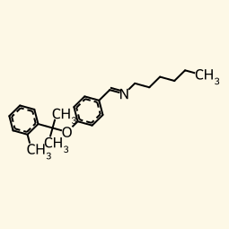 CCCCCCN=Cc1ccc(OC(C)(C)c2ccccc2C)cc1